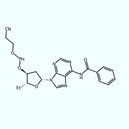 CC[C@H]1O[C@@H](n2cnc3c(NC(=O)c4ccccc4)ncnc32)C[C@@H]1OPOCCC#N